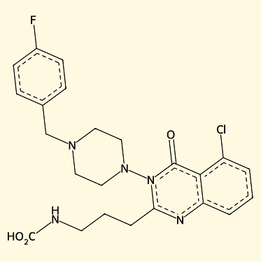 O=C(O)NCCCc1nc2cccc(Cl)c2c(=O)n1N1CCN(Cc2ccc(F)cc2)CC1